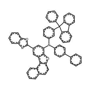 c1ccc(-c2ccc(N(c3cccc(C4(c5ccccc5)c5ccccc5-c5ccccc54)c3)c3cc(-c4nc5ccccc5o4)cc4c3sc3ccc5ccccc5c34)cc2)cc1